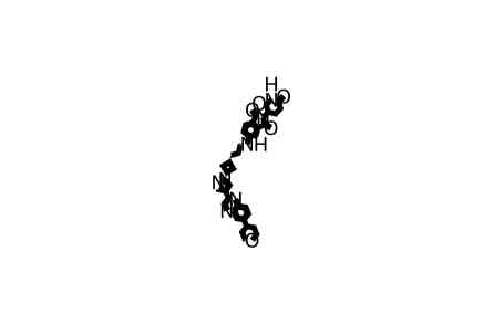 O=C1CCC(N2C(=O)c3ccc(NCCC[C@H]4C[C@@H](n5cc(-c6cnc7cc(C8CCOCC8)ccc7n6)cn5)C4)cc3C2=O)C(=O)N1